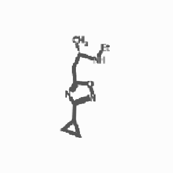 CCN[C@@H](C)Cc1nc(C2CC2)no1